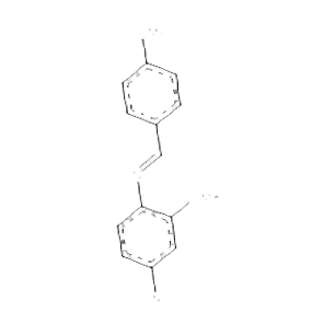 COc1ccc(C=Nc2ccc([N+](=O)[O-])cc2OC)cc1